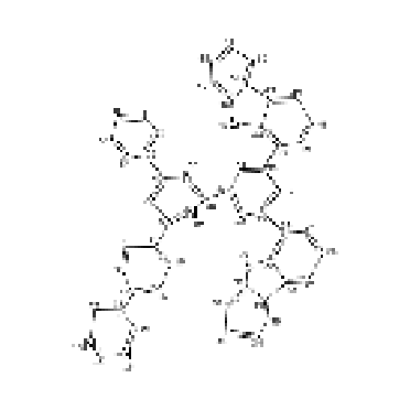 c1ccc(-c2cc(-c3ccc(-c4cncnc4)cc3)nc(-c3cc(-c4cccc5c4sc4ccccc45)cc(-c4cccc5c4sc4ccccc45)c3)n2)cc1